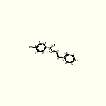 Cc1ccc(C(=O)NC=Cc2ccccc2)cc1